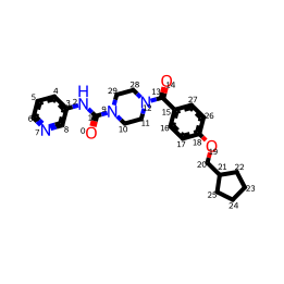 O=C(Nc1cccnc1)N1CCN(C(=O)c2ccc(OCC3CCCC3)cc2)CC1